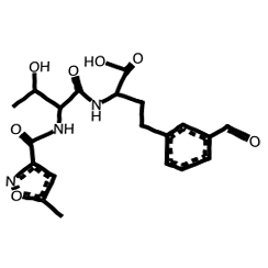 Cc1cc(C(=O)NC(C(=O)NC(CCc2cccc(C=O)c2)C(=O)O)C(C)O)no1